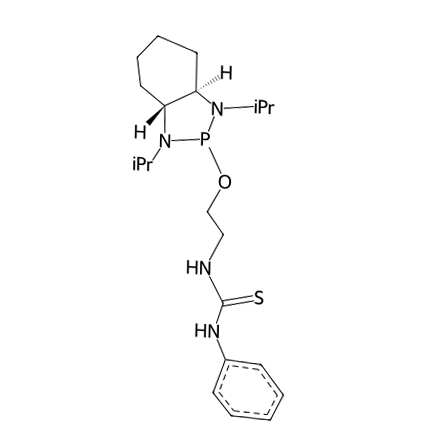 CC(C)N1[C@@H]2CCCC[C@H]2N(C(C)C)P1OCCNC(=S)Nc1ccccc1